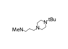 CNCCCN1CCN(C(C)(C)C)CC1